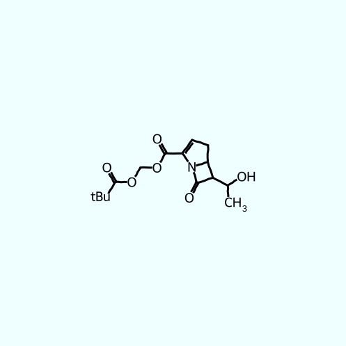 CC(O)C1C(=O)N2C(C(=O)OCOC(=O)C(C)(C)C)=CCC12